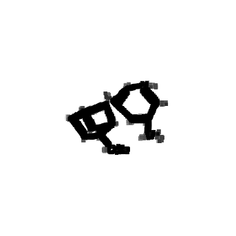 COc1ccc2cc1C2.Nc1cccnc1